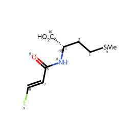 CSCC[C@H](NC(=O)C=CF)C(=O)O